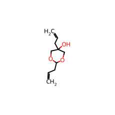 C=CCC1OCC(O)(CC=C)CO1